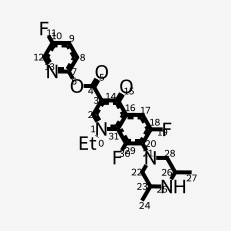 CCn1cc(C(=O)Oc2ccc(F)cn2)c(=O)c2cc(F)c(N3CC(C)NC(C)C3)c(F)c21